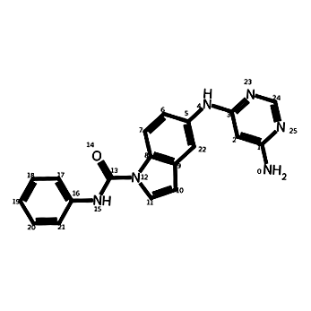 Nc1cc(Nc2ccc3c(ccn3C(=O)Nc3ccccc3)c2)ncn1